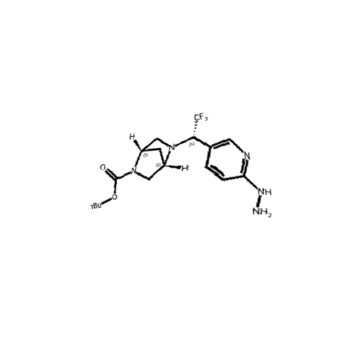 CC(C)(C)OC(=O)N1C[C@@H]2C[C@H]1CN2[C@@H](c1ccc(NN)nc1)C(F)(F)F